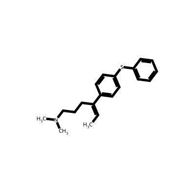 CC=C(CCCN(C)C)c1ccc(Sc2ccccc2)cc1